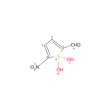 O=CC1=CC=C([N+](=O)[O-])S1(O)O